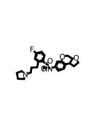 O=S(=O)(Nc1ccc2c(c1)OCC1OCCC21)c1ccc(F)cc1CCCN1CCCC1